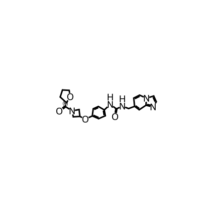 O=C(NCc1ccn2ccnc2c1)Nc1ccc(OC2CN(C(=O)[C@H]3CCCO3)C2)cc1